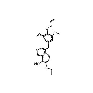 C=CCOc1c(OC)cc(Cc2cncc3c(O)c(OCC)ccc23)cc1OC